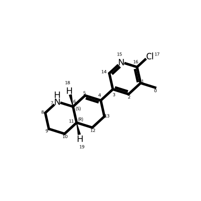 Cc1cc(C2=C[C@H]3NCCC[C@H]3CC2)cnc1Cl